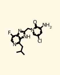 CC(C)Cc1ncc(F)c2nc(Cn3cc(Cl)cc(N)c3=O)[nH]c12